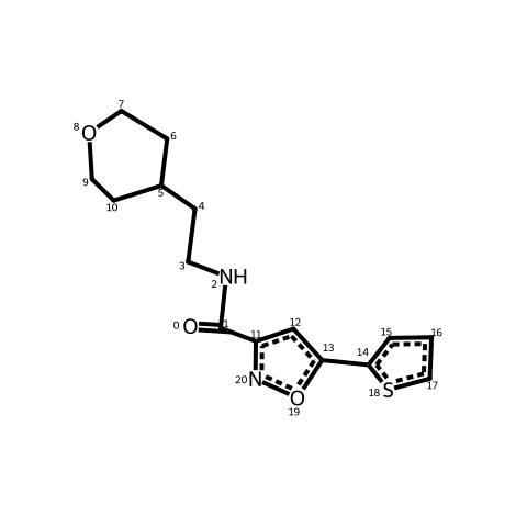 O=C(NCCC1CCOCC1)c1cc(-c2cccs2)on1